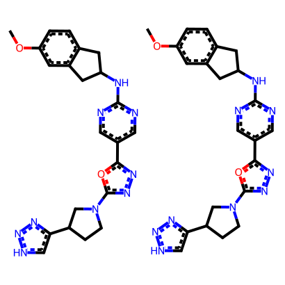 COc1ccc2c(c1)CC(Nc1ncc(-c3nnc(N4CCC(c5c[nH]nn5)C4)o3)cn1)C2.COc1ccc2c(c1)CC(Nc1ncc(-c3nnc(N4CCC(c5c[nH]nn5)C4)o3)cn1)C2